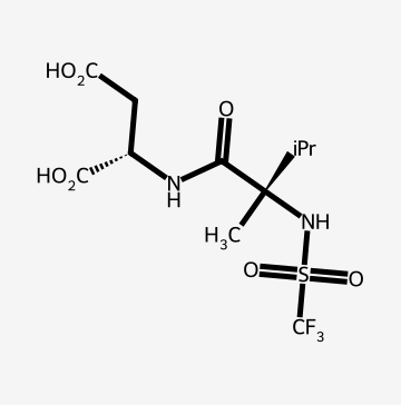 CC(C)[C@](C)(NS(=O)(=O)C(F)(F)F)C(=O)N[C@@H](CC(=O)O)C(=O)O